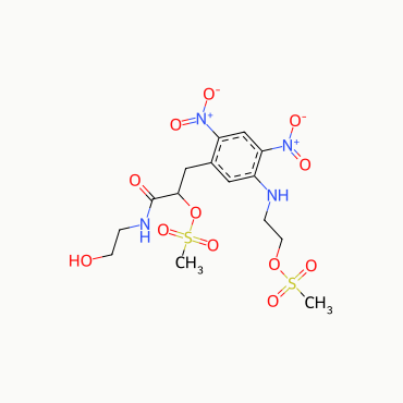 CS(=O)(=O)OCCNc1cc(CC(OS(C)(=O)=O)C(=O)NCCO)c([N+](=O)[O-])cc1[N+](=O)[O-]